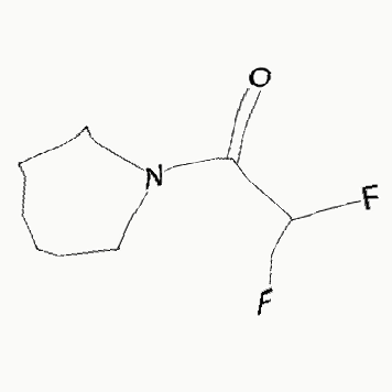 O=C(C(F)F)N1CCCC1